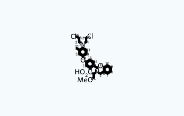 COC[C@@H](C(=O)O)N(Cc1ccccc1)C(=O)c1ccc(Oc2ccc(N(CCCl)CCCl)c(C)c2)cc1